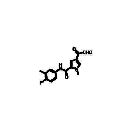 Cc1cc(NC(=O)c2cc(C(=O)C=O)cn2C)ccc1F